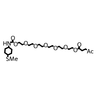 CSC1CCC(NC(=O)OCCOCCOCCOCCOCCOCCOC(=O)CCC(C)=O)CC1